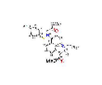 C#CCN(c1ccc(N(CC(=O)OC)Sc2ccc(F)cc2)c2ccccc12)C(C)CC(=O)OC